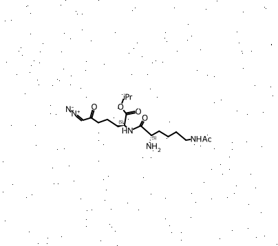 CC(=O)NCCCC[C@H](N)C(=O)N[C@@H](CCCC(=O)C=[N+]=[N-])C(=O)OC(C)C